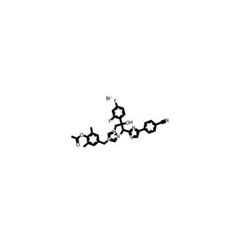 CC(=O)Oc1c(C)cc(C[n+]2cnn(CC(O)(c3ccc(F)cc3F)C(C)c3nc(-c4ccc(C#N)cc4)cs3)c2)cc1C.[Br-]